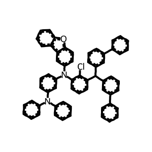 Clc1c(C(c2cccc(-c3ccccc3)c2)c2cccc(-c3ccccc3)c2)cccc1N(c1cccc(N(c2ccccc2)c2ccccc2)c1)c1ccc2oc3ccccc3c2c1